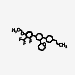 CCCC1CCC(C2CCC(c3ccc(OCC)c(C(F)F)c3F)CC2C2CCCCO2)CC1